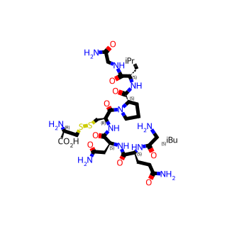 CC[C@H](C)C(N)C(=O)N[C@@H](CCC(N)=O)C(=O)N[C@@H](CC(N)=O)C(=O)N[C@@H](CSSC[C@H](N)C(=O)O)C(=O)N1CCC[C@H]1C(=O)N[C@@H](CC(C)C)C(=O)NCC(N)=O